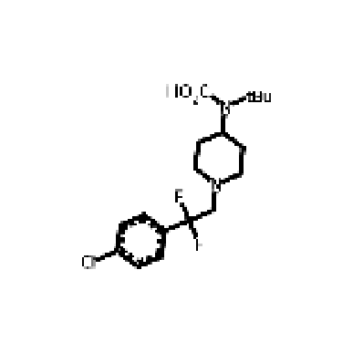 CC(C)(C)N(C(=O)O)C1CCN(CC(F)(F)c2ccc(Cl)cc2)CC1